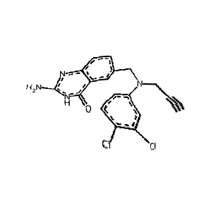 C#CCN(Cc1ccc2nc(N)[nH]c(=O)c2c1)c1ccc(Cl)c(Cl)c1